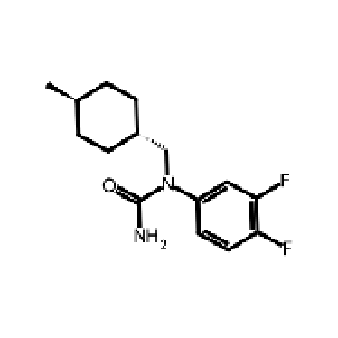 C[C@H]1CC[C@H](CN(C(N)=O)c2ccc(F)c(F)c2)CC1